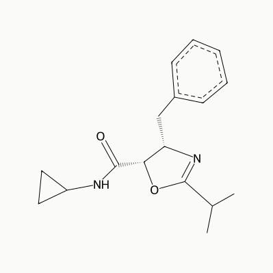 CC(C)C1=N[C@@H](Cc2ccccc2)[C@@H](C(=O)NC2CC2)O1